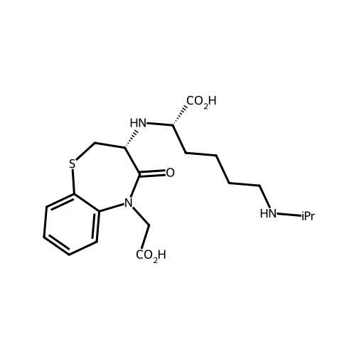 CC(C)NCCCC[C@H](N[C@H]1CSc2ccccc2N(CC(=O)O)C1=O)C(=O)O